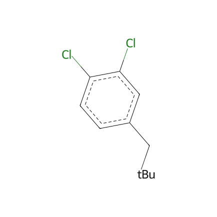 CC(C)(C)Cc1ccc(Cl)c(Cl)c1